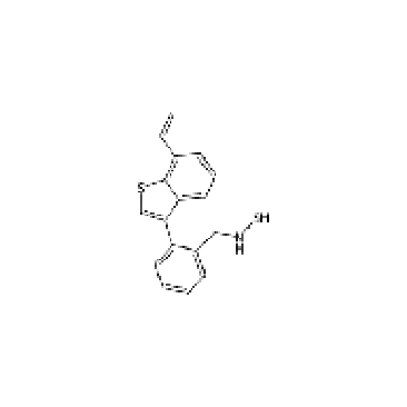 C=Cc1cccc2c(-c3ccccc3CNS)csc12